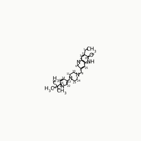 CCc1cc2ncc(CN3CCN(c4ccc(C(C)(C)C)nc4)CC3)cc2[nH]c1=O